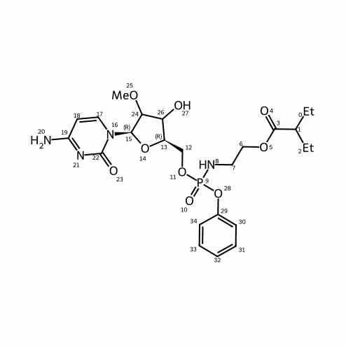 CCC(CC)C(=O)OCCNP(=O)(OC[C@H]1O[C@@H](n2ccc(N)nc2=O)C(OC)C1O)Oc1ccccc1